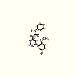 COc1ccc(F)cc1-c1cc(NC(=O)Nc2ccncc2)ncn1